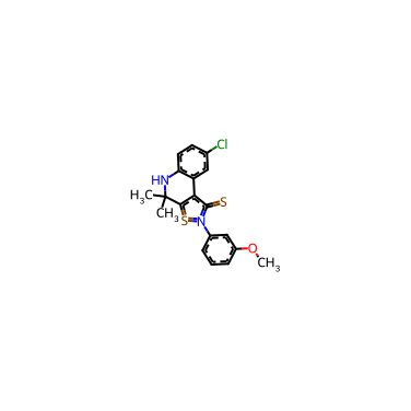 COc1cccc(-n2sc3c(c2=S)-c2cc(Cl)ccc2NC3(C)C)c1